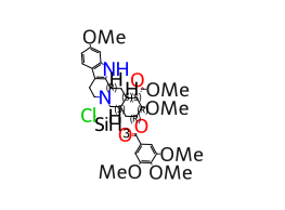 COC(=O)[C@H]1[C@H]2C[C@@H]3c4[nH]c5cc(OC)ccc5c4CCN3C[C@H]2C[C@@H](OC(=O)c2cc(OC)c(OC)c(OC)c2)[C@@H]1OC.[SiH3]Cl